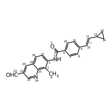 Cc1c(NC(=O)c2ccc(/C=C/C3CC3)cc2)ccc2cc(C=O)cnc12